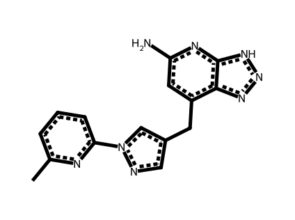 Cc1cccc(-n2cc(Cc3cc(N)nc4[nH]nnc34)cn2)n1